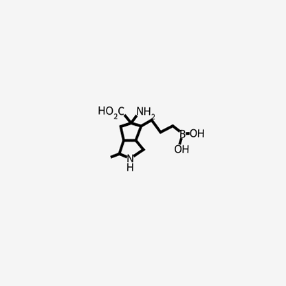 CC1NCC2C1CC(N)(C(=O)O)C2CCCB(O)O